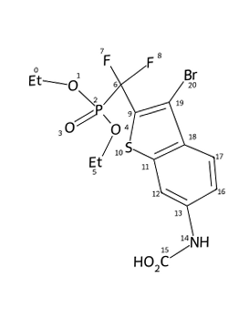 CCOP(=O)(OCC)C(F)(F)c1sc2cc(NC(=O)O)ccc2c1Br